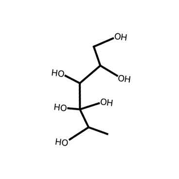 CC(O)C(O)(O)C(O)C(O)CO